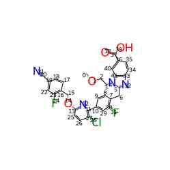 COCCn1c(Cc2ccc(-c3nc(OCc4ccc(C#N)cc4F)ccc3Cl)cc2F)nc2ccc(C(=O)O)cc21